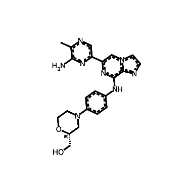 Cc1ncc(-c2cn3ccnc3c(Nc3ccc(N4CCO[C@@H](CO)C4)cc3)n2)nc1N